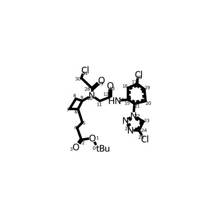 CC(C)(C)OC(=O)CCC1CCC1N(CC(=O)Nc1cc(Cl)ccc1-n1cc(Cl)nn1)C(=O)CCl